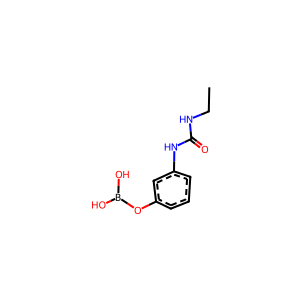 CCNC(=O)Nc1cccc(OB(O)O)c1